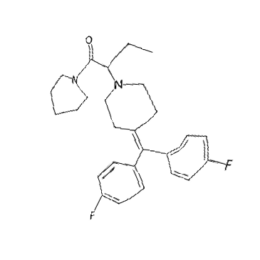 CCC(C(=O)N1CCCCC1)N1CCC(=C(c2ccc(F)cc2)c2ccc(F)cc2)CC1